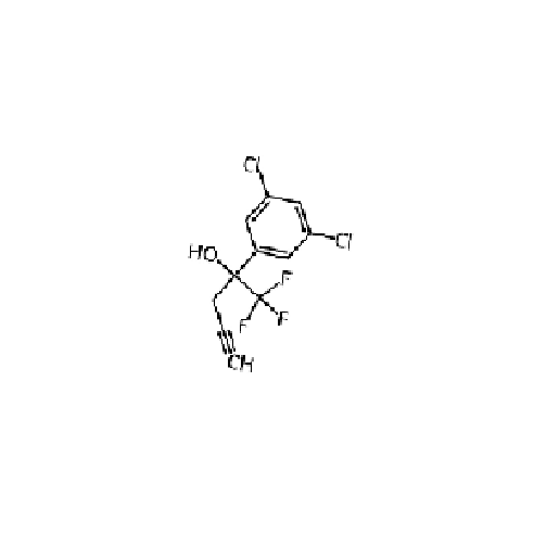 C#CCC(O)(c1cc(Cl)cc(Cl)c1)C(F)(F)F